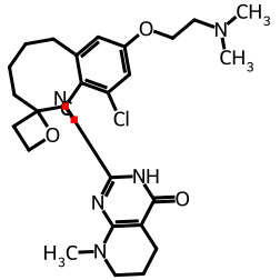 CN(C)CCOc1cc(Cl)c2c(c1)CCCCC1(CCO1)C21CCN(c2nc3c(c(=O)[nH]2)CCCN3C)CC1